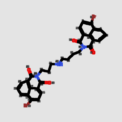 O=C1c2cccc3c(Br)ccc(c23)C(=O)N1CCCCNCCCN1C(=O)c2cccc3c(Br)ccc(c23)C1=O